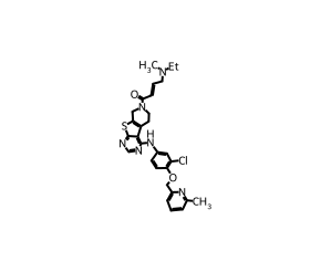 CCN(C)C/C=C/C(=O)N1CCc2c(sc3ncnc(Nc4ccc(OCc5cccc(C)n5)c(Cl)c4)c23)C1